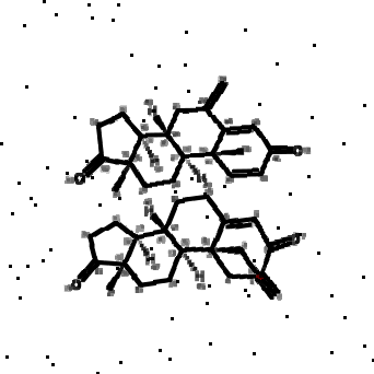 C#CC[C@]12CCC(=O)C=C1CC[C@@H]1[C@@H]2CC[C@]2(C)C(=O)CC[C@@H]12.C=C1C[C@@H]2[C@H](CC[C@]3(C)C(=O)CC[C@@H]23)[C@@]2(C)C=CC(=O)C=C12